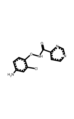 Nc1ccc(ONC(=O)c2ccncn2)c(Cl)c1